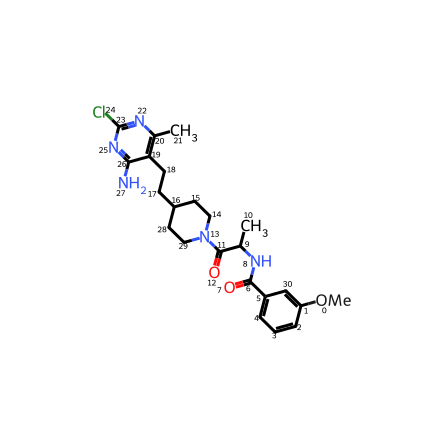 COc1cccc(C(=O)NC(C)C(=O)N2CCC(CCc3c(C)nc(Cl)nc3N)CC2)c1